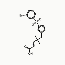 CC(C)(/C=C/C(=O)O)Cc1ccn(S(=O)(=O)c2cccc(Br)c2)c1